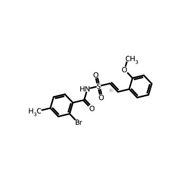 COc1ccccc1/C=C/S(=O)(=O)NC(=O)c1ccc(C)cc1Br